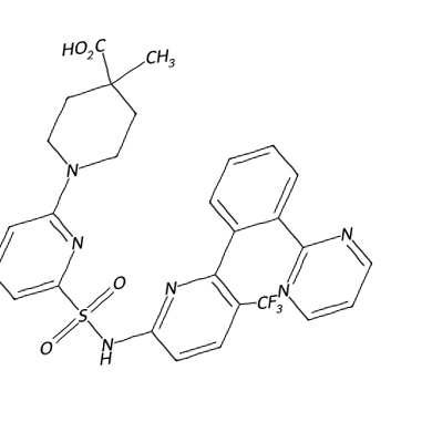 CC1(C(=O)O)CCN(c2cccc(S(=O)(=O)Nc3ccc(C(F)(F)F)c(-c4ccccc4-c4ncccn4)n3)n2)CC1